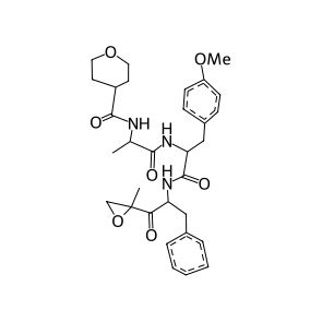 COc1ccc(CC(NC(=O)C(C)NC(=O)C2CCOCC2)C(=O)NC(Cc2ccccc2)C(=O)C2(C)CO2)cc1